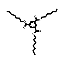 CCCCCCCOC(=O)c1cc(C(=O)OCCCCCCC)cc(C(=O)OCCCCCCC)c1